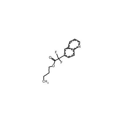 CCCCOC(=O)C(F)(F)c1ccc2ncccc2c1